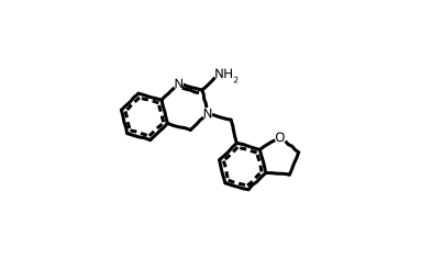 NC1=Nc2ccccc2CN1Cc1cccc2c1OCC2